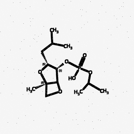 CC(C)C[C@H]1O[C@]2(C)COC2[C@H]1OP(=O)(O)OC(C)C